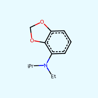 CCN(c1cccc2c1OCO2)C(C)C